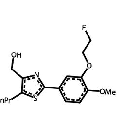 CCCc1sc(-c2ccc(OC)c(OCCF)c2)nc1CO